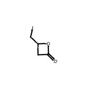 O=C1CC(CI)O1